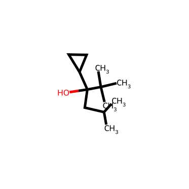 CC(C)CC(O)(C1CC1)C(C)(C)C